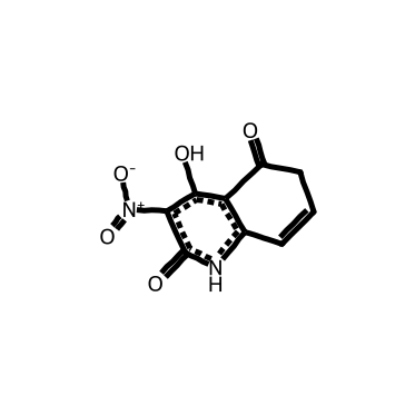 O=C1CC=Cc2[nH]c(=O)c([N+](=O)[O-])c(O)c21